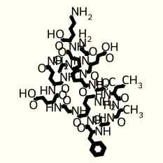 CCC(C)C(NC(=O)CNC(=O)C1CCCN1C(=O)C(CCC(=O)O)NC(=O)CN)C(=O)NC(C)C(=O)NCC(=O)NC(Cc1ccccc1)C(=O)NC(CCCCN)C(=O)NCC(=O)NC(CCC(=O)O)C(=O)NC(CCC(N)=O)C(=O)NCC(=O)N1CCCC1C(=O)NC(CCCCN)C(=O)O